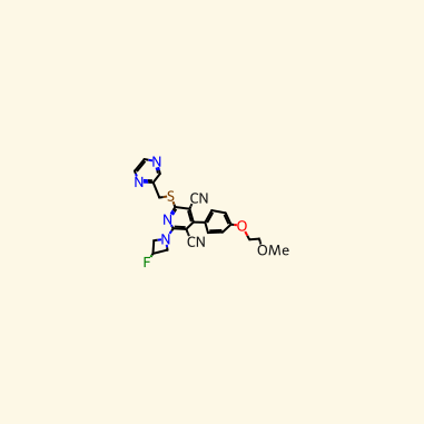 COCCOc1ccc(-c2c(C#N)c(SCc3cnccn3)nc(N3CC(F)C3)c2C#N)cc1